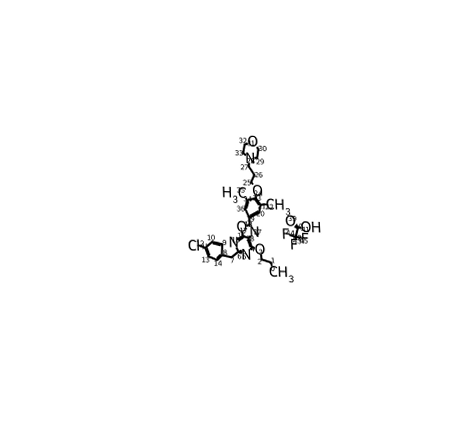 CCCOc1nc(Cc2ccc(Cl)cc2)nc2oc(-c3cc(C)c(OCCCN4CCOCC4)c(C)c3)nc12.O=C(O)C(F)(F)F